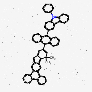 CC1(C)C=C(c2c3ccccc3c(-c3ccc4c(c3)c3ccccc3n4-c3ccccc3)c3ccccc23)C=C2C=c3cc4c5ccccc5c5ccccc5c4cc3=C21